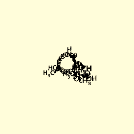 C#CCOC[C@@H]1CC(=O)CNCCCCCCCC(C#C)(CCCC)CCCOC[C@H](C(C)(C)C(=O)N[C@@H](CCC(=O)O)C(C)=O)NC1=O